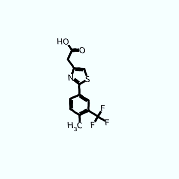 Cc1ccc(-c2nc(CC(=O)O)cs2)cc1C(F)(F)F